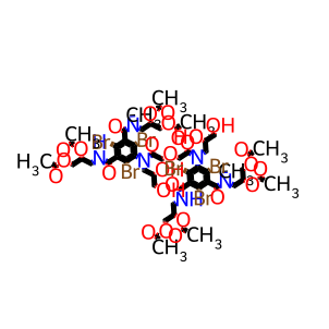 CC(=O)OCC(CNC(=O)c1c(Br)c(C(=O)N(C)CC(COC(C)=O)OC(C)=O)c(Br)c(N(CC(O)CO)C(=O)COCC(=O)N(CC(O)CO)c2c(Br)c(C(=O)NCC(COC(C)=O)OC(C)=O)c(Br)c(C(=O)N(C)CC(COC(C)=O)OC(C)=O)c2Br)c1Br)OC(C)=O